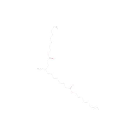 CCCCCCCOC(=O)CCCCCCCC(C)CCC(=O)OCCCCCCC